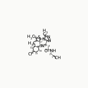 C#CCNC(=O)C[C@@H]1N=C(c2ccc(Cl)cc2)c2c(sc(C)c2C)-n2c(C)nnc21